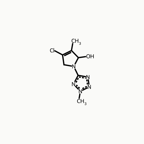 CC1=C(Cl)CN(c2nnn(C)n2)C1O